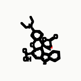 CCN(CC)c1ccc2c(c1)Oc1c(C(=O)O)cc3sc4ccccc4c3c1C21OC(=O)c2ccccc21